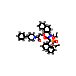 CCOP(=O)(OCC)C(C(=O)Nc1ccc2ccccc2c1OCC(=O)N1CCC(c2ccccc2)CC1)c1cccc2ccccc12